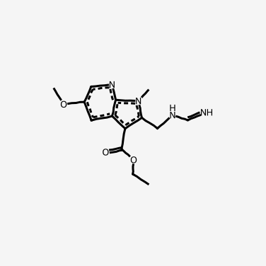 CCOC(=O)c1c(CNC=N)n(C)c2ncc(OC)cc12